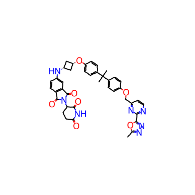 Cc1nnc(-c2nccc(COc3ccc(C(C)(C)c4ccc(O[C@H]5C[C@@H](Nc6ccc7c(c6)C(=O)N(C6CCC(=O)NC6=O)C7=O)C5)cc4)cc3)n2)o1